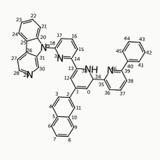 C1=C(c2ccc3ccccc3c2)C=C(c2cccc(-n3c4ccccc4c4ccncc43)n2)NC1c1cccc(-c2ccccc2)n1